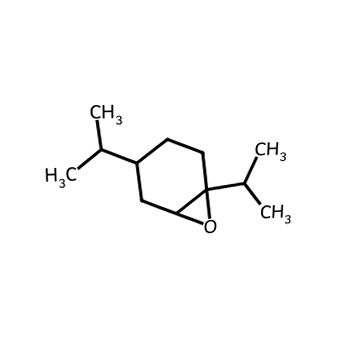 CC(C)C1CCC2(C(C)C)OC2C1